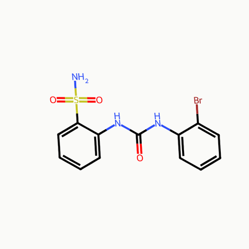 NS(=O)(=O)c1ccccc1NC(=O)Nc1ccccc1Br